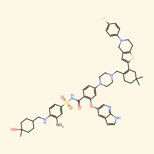 CC1(C)CCC(CN2CCN(c3ccc(C(=O)NS(=O)(=O)c4ccc(NCC5CCC(C)(O)CC5)c([N+](=O)[O-])c4)c(Oc4cnc5[nH]ccc5c4)c3)CC2)=C(c2cc3c(s2)CCN(c2ccc(F)cc2)C3)C1